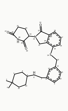 CC1(C)CCC(NCc2cccc(CSc3cccc4c3CN(C3CCC(=O)NC3=O)C4=O)c2)CC1